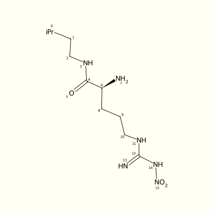 CC(C)CCNC(=O)[C@@H](N)CCCNC(=N)N[N+](=O)[O-]